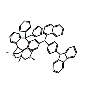 C[C@H]1C[C@@H]2C[C@@H]3C[C@H](C1)C21c2ccc(N(c4ccc(-n5c6ccccc6c6ccccc65)cc4)c4cccc5ccccc45)cc2C(c2ccccc2)(c2ccccc2)c2ccccc2C31